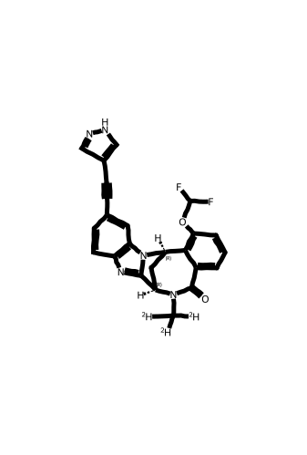 [2H]C([2H])([2H])N1C(=O)c2cccc(OC(F)F)c2[C@H]2C[C@@H]1c1nc3ccc(C#Cc4cn[nH]c4)cc3n12